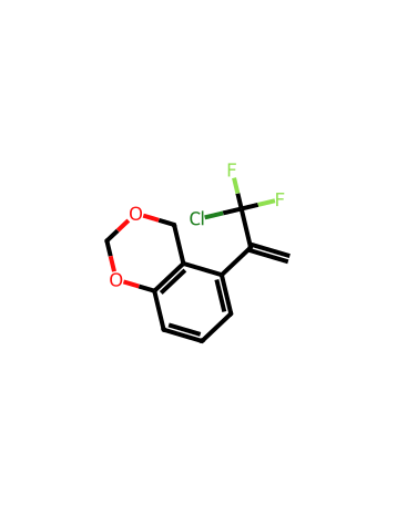 C=C(c1cccc2c1COCO2)C(F)(F)Cl